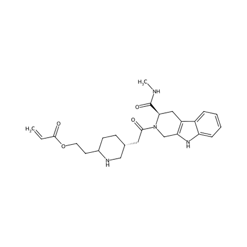 C=CC(=O)OCCC1CC[C@H](CC(=O)N2Cc3[nH]c4ccccc4c3C[C@@H]2C(=O)NC)CN1